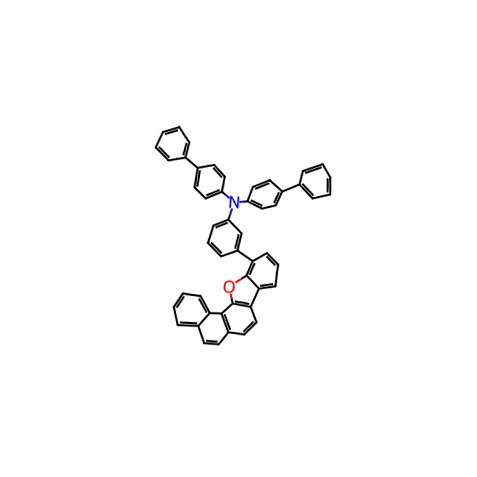 c1ccc(-c2ccc(N(c3ccc(-c4ccccc4)cc3)c3cccc(-c4cccc5c4oc4c5ccc5ccc6ccccc6c54)c3)cc2)cc1